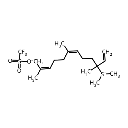 C=CC(C)(CCC=C(C)CCC=C(C)C)[S+](C)C.O=S(=O)([O-])C(F)(F)F